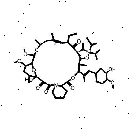 CCC1/C=C(\C)CC(C)CC(OC)C2OC(O)(C(=O)C(=O)N3CCCCC3C(=O)OC(C(C)=CC3CCC(OC)C(O)C3)C(C)C(O[Si](C(C)C)(C(C)C)C(C)C)CC1=O)C(C)CC2OC